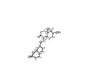 C=C1CC[C@@H]2C(C)(C)C(O)CCC2(C)C1COc1ccc2ccc(=O)oc2c1